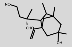 C=CC12CC(C)(O)CC(C)(C1)C(C)C2[C@@](C)(C=O)CCC#N